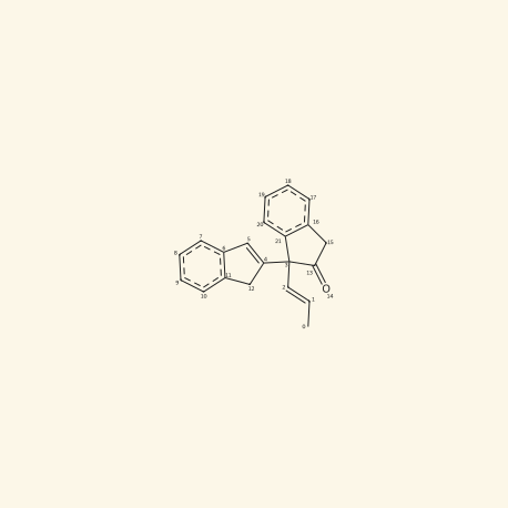 CC=CC1(C2=Cc3ccccc3C2)C(=O)Cc2ccccc21